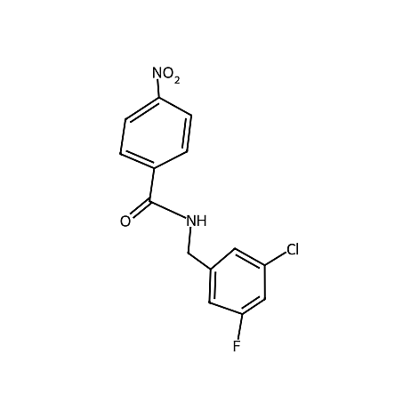 O=C(NCc1cc(F)cc(Cl)c1)c1ccc([N+](=O)[O-])cc1